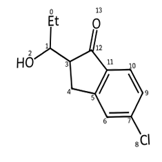 CCC(O)C1Cc2cc(Cl)ccc2C1=O